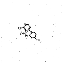 CC1CCN(c2ncnc(Cl)c2[N+](=O)[O-])CC1